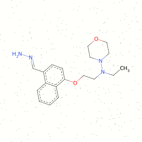 CCN(CCOc1ccc(C=NN)c2ccccc12)N1CCOCC1